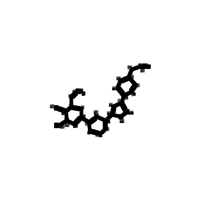 C=Cc1cc(-c2cncc(-c3cc(-c4ccc(CNC)cc4)no3)n2)cn(C(C)C)c1=O